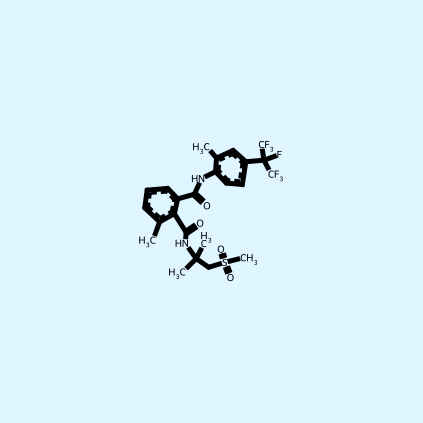 Cc1cc(C(F)(C(F)(F)F)C(F)(F)F)ccc1NC(=O)c1cccc(C)c1C(=O)NC(C)(C)CS(C)(=O)=O